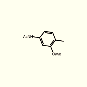 COc1cc(NC(C)=O)ccc1C